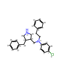 Clc1ccc(N(CCc2ccccc2)CC2CNCC2Cc2ccccc2)cc1